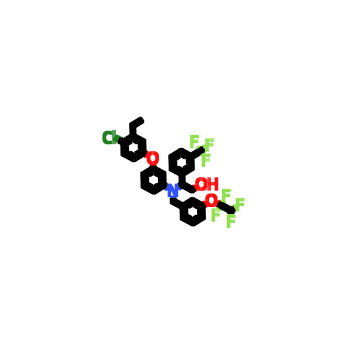 CCc1cc(Oc2cccc(N(Cc3cccc(OC(F)(F)C(F)F)c3)C(CO)c3cccc(C(F)(F)F)c3)c2)ccc1Cl